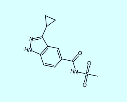 CS(=O)(=O)NC(=O)c1ccc2[nH]nc(C3CC3)c2c1